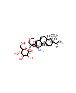 CC(C)[C@@H](C)[C@@]1(C)CC[C@]2(C)[C@H]3CC[C@@H]4[C@@]5(COC[C@]4(C)[C@@H](O[C@@H]4OC(CO)[C@@H](O)[C@H](O)C4O)[C@H](N)C5)C3=CC[C@@]2(C)[C@@H]1C(=O)O